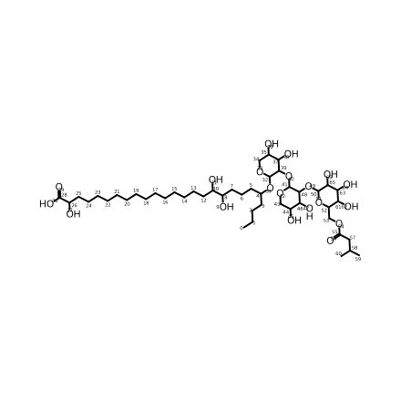 CCCCC(CCCC(O)C(O)CCCCCCCCCCCCCCC(O)C(=O)O)OC1OCC(O)C(O)C1OC1OCC(O)C(O)C1OC1OC(COC(=O)CC(C)C)C(O)C(O)C1O